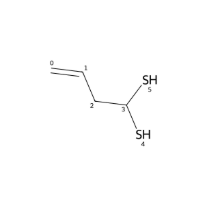 C=CCC(S)S